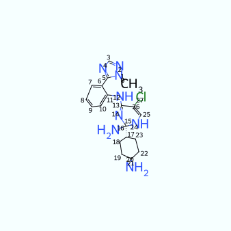 Cn1ncnc1-c1ccccc1NC1=NC(N)([C@H]2CC[C@H](N)CC2)NC=C1Cl